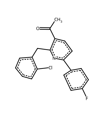 CC(=O)c1ccc(-c2ccc(F)cc2)nc1Cc1ccccc1Cl